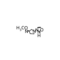 CON=C1CCN(N2C=CON2)C1